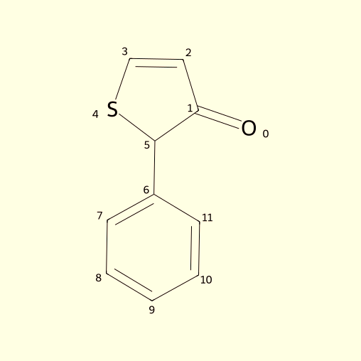 O=C1C=CSC1c1ccccc1